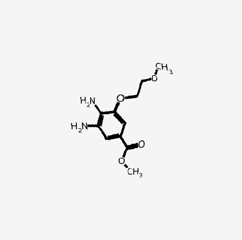 COCCOc1cc(C(=O)OC)cc(N)c1N